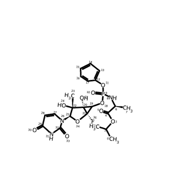 CC(C)OC(=O)[C@H](C)NP(=O)(Oc1ccccc1)OC1[C@]2(O)[C@@](C)(O)[C@H](n3ccc(=O)[nH]c3=O)O[C@]12F